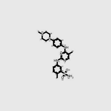 Cc1ccc(Nc2ncc(C)c(Nc3ccc(N4CCN(C)CC4)cc3)n2)cc1S(N)(=O)=O